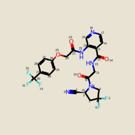 N#C[C@@H]1CC(F)(F)CN1C(=O)CNC(=O)c1ccncc1NC(=O)COc1ccc(C(F)(F)F)cc1